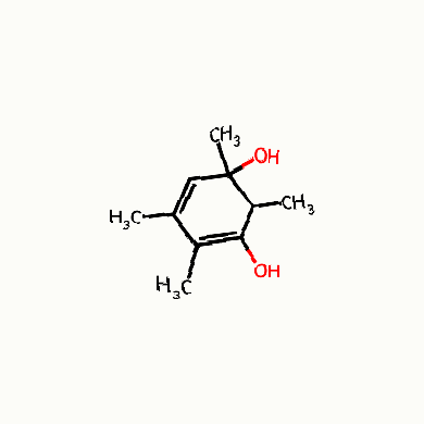 CC1=CC(C)(O)C(C)C(O)=C1C